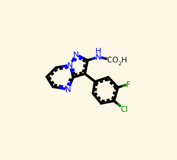 O=C(O)Nc1nn2cccnc2c1-c1ccc(Cl)c(F)c1